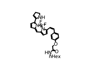 CCCCCCNC(=O)COc1ccc(/C=C\c2ccc3n2[B-](F)(F)[N+]2=C(C4=CCCN4)C=CC2=C3)cc1